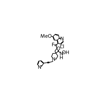 COc1ccc2ncc(Cl)c([C@H](F)CCC3(C(=O)NO)CCN(CC#Cc4cccnc4)CC3)c2c1